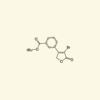 CC(C)(C)OC(=O)c1cccc(C2=C(Br)C(=O)OC2)c1